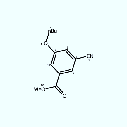 CCCCOc1cc(C#N)cc(C(=O)OC)c1